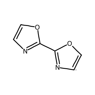 [c]1coc(-c2ncco2)n1